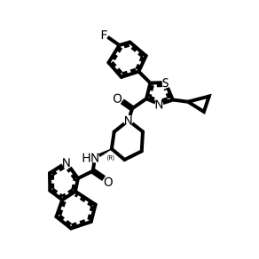 O=C(N[C@@H]1CCCN(C(=O)c2nc(C3CC3)sc2-c2ccc(F)cc2)C1)c1nccc2ccccc12